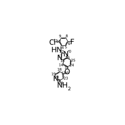 Cn1c(Nc2cc(F)ccc2Cl)nc2cc(Oc3ccnc(N)c3)ccc21